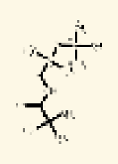 CC(C)(C)C(=O)NC[Si](C)(C)O[Si](C)(C)O